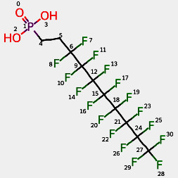 O=P(O)(O)CCC(F)(F)C(F)(F)C(F)(F)C(F)(F)C(F)(F)C(F)(F)C(F)(F)C(F)(F)F